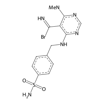 CNc1ncnc(NCc2ccc(S(N)(=O)=O)cc2)c1C(=N)Br